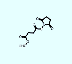 O=COC(=O)CCC(=O)ON1C(=O)CCC1=O